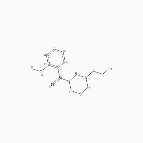 CCCN1CCCC(C(=O)c2ccccc2OC)C1